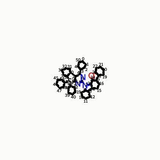 c1ccc(-c2nc(-n3c4ccccc4c4ccc5c6ccccc6oc5c43)nc3c2-c2ccccc2[Si]3(c2ccccc2)c2ccccc2)cc1